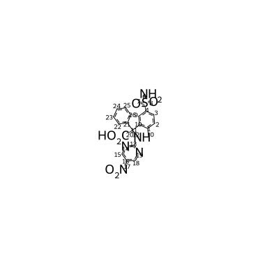 Cc1ccc(S(N)(=O)=O)cc1C(Nc1ncc([N+](=O)[O-])cn1)(C(=O)O)c1ccccc1